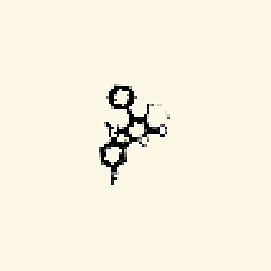 Cn1c2ccc(F)cc2c2oc(=O)c(C(F)(F)F)c(-c3ccccc3)c21